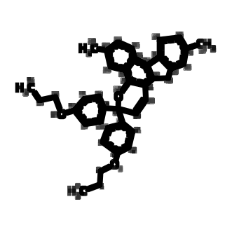 CCCOc1ccc(C2(c3ccc(OCCC)cc3)C=Cc3c4c(c5ccc(C)cc5c3O2)-c2ccc(C)cc2C4)cc1